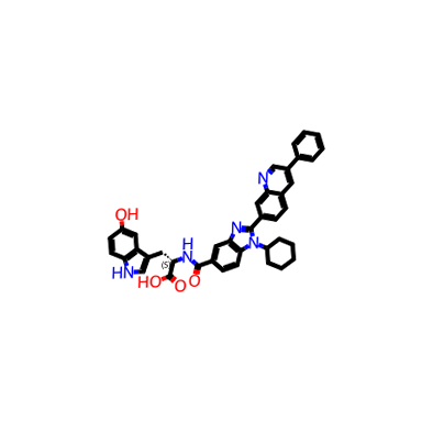 O=C(N[C@@H](Cc1c[nH]c2ccc(O)cc12)C(=O)O)c1ccc2c(c1)nc(-c1ccc3cc(-c4ccccc4)cnc3c1)n2C1CCCCC1